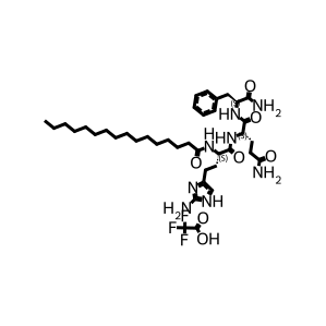 CCCCCCCCCCCCCCCC(=O)N[C@@H](CCc1c[nH]c(N)n1)C(=O)N[C@@H](CCC(N)=O)C(=O)N[C@@H](Cc1ccccc1)C(N)=O.O=C(O)C(F)(F)F